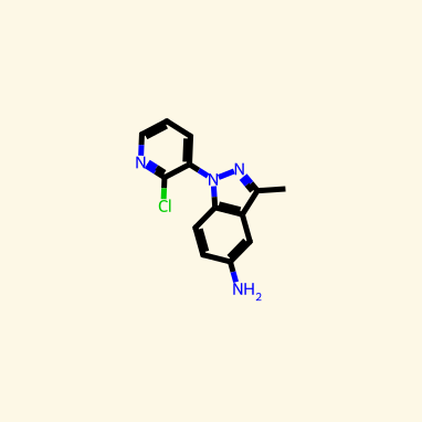 Cc1nn(-c2cccnc2Cl)c2ccc(N)cc12